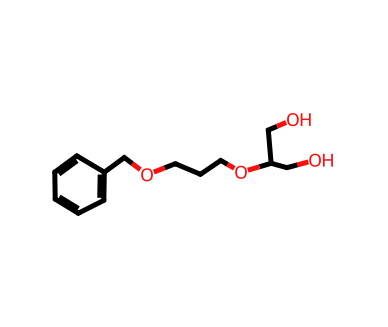 OCC(CO)OCCCOCc1ccccc1